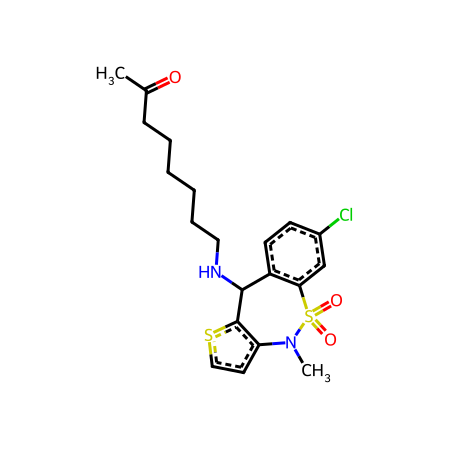 CC(=O)CCCCCCNC1c2ccc(Cl)cc2S(=O)(=O)N(C)c2ccsc21